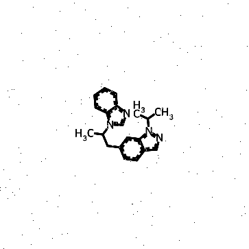 CC(Cc1ccc2cnn(C(C)C)c2c1)n1cnc2ccccc21